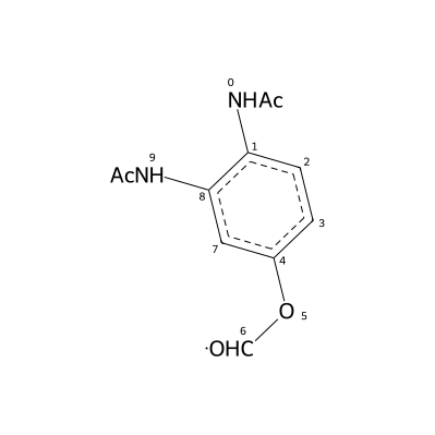 CC(=O)Nc1ccc(O[C]=O)cc1NC(C)=O